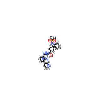 CS(=O)(=O)N1CC2(CCC(C(=O)N[C@H](CNCc3ccccn3)Cc3ccccc3)CC2)c2ccccc21